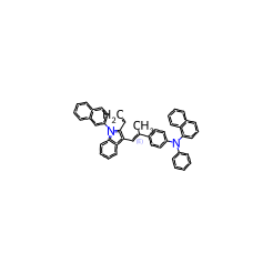 C=Cc1c(/C=C(\C)c2ccc(N(c3ccccc3)c3cccc4ccccc34)cc2)c2ccccc2n1-c1ccc2ccccc2c1